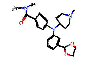 CC(C)N(C(=O)c1ccc(N(c2cccc(C3OCCO3)c2)C2CCN(C)CC2)cc1)C(C)C